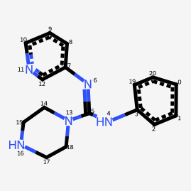 c1ccc(NC(=Nc2cccnc2)N2CCNCC2)cc1